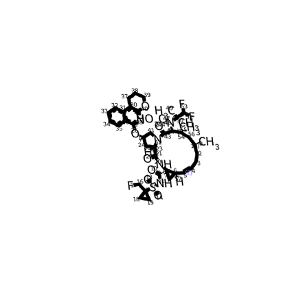 C[C@@H]1CC/C=C\[C@@H]2C[C@@]2(C(=O)NS(=O)(=O)C2(CF)CC2)NC(=O)[C@@H]2C[C@@H](Oc3nc4c(c5ccccc35)CCCO4)CN2C(=O)[C@@H](N(C(=O)O)C(C)(C)C(F)F)[C@H](C)C1